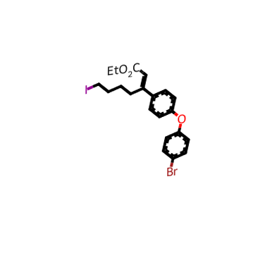 CCOC(=O)C=C(CCCCI)c1ccc(Oc2ccc(Br)cc2)cc1